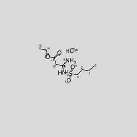 CCCCS(=O)(=O)N[C@H](N)CC(=O)OCC.Cl